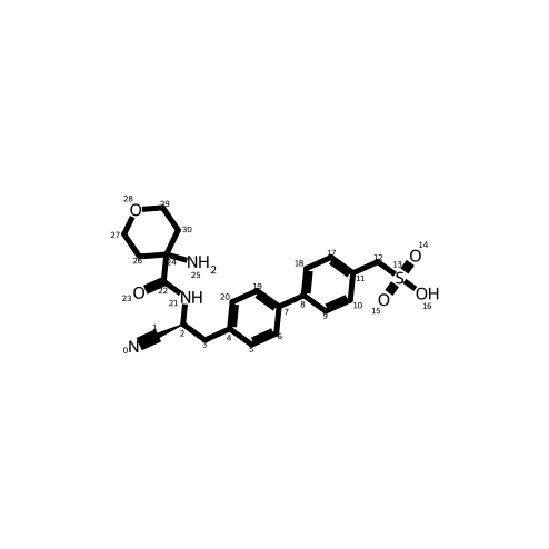 N#C[C@H](Cc1ccc(-c2ccc(CS(=O)(=O)O)cc2)cc1)NC(=O)C1(N)CCOCC1